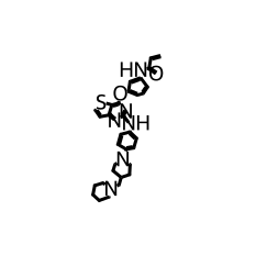 C=CC(=O)Nc1cccc(Oc2nc(Nc3ccc(N4CCC(CN5CCCCC5)CC4)cc3)nc3ccsc23)c1